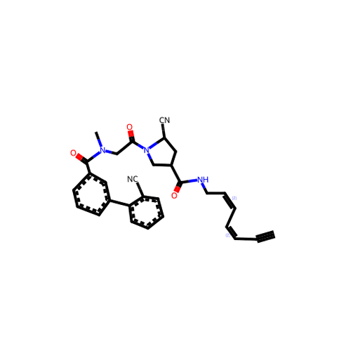 C#C/C=C\C=C/CNC(=O)C1CC(C#N)N(C(=O)CN(C)C(=O)c2cccc(-c3ccccc3C#N)c2)C1